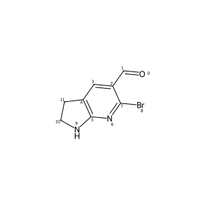 O=Cc1cc2c(nc1Br)NCC2